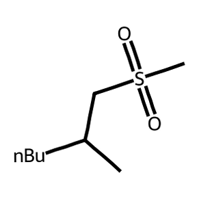 CCCCC(C)CS(C)(=O)=O